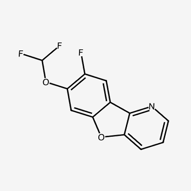 Fc1cc2c(cc1OC(F)F)oc1cccnc12